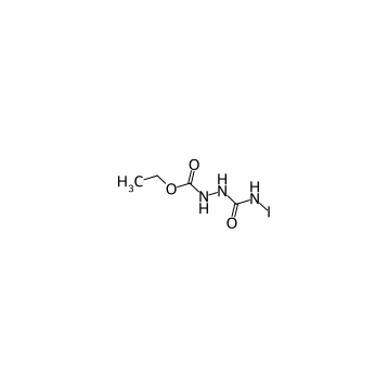 CCOC(=O)NNC(=O)NI